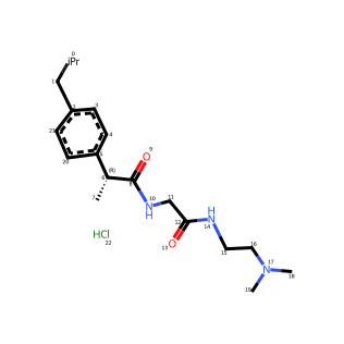 CC(C)Cc1ccc([C@@H](C)C(=O)NCC(=O)NCCN(C)C)cc1.Cl